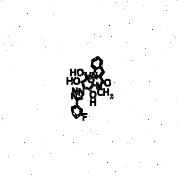 CN(C(=O)c1cc2ccccc2[nH]1)[C@@H]1OC(CO)[C@H](O)C(n2cc(-c3cccc(F)c3)nn2)[C@@H]1O